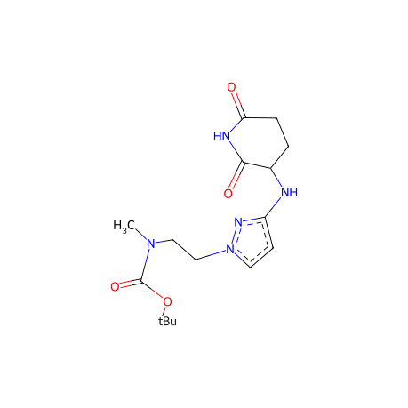 CN(CCn1ccc(NC2CCC(=O)NC2=O)n1)C(=O)OC(C)(C)C